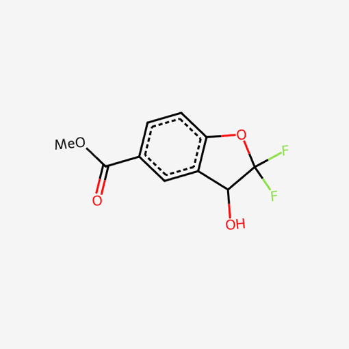 COC(=O)c1ccc2c(c1)C(O)C(F)(F)O2